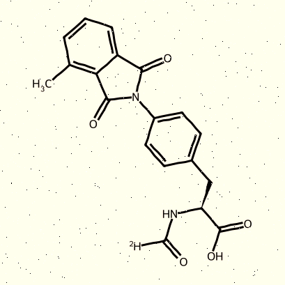 [2H]C(=O)N[C@@H](Cc1ccc(N2C(=O)c3cccc(C)c3C2=O)cc1)C(=O)O